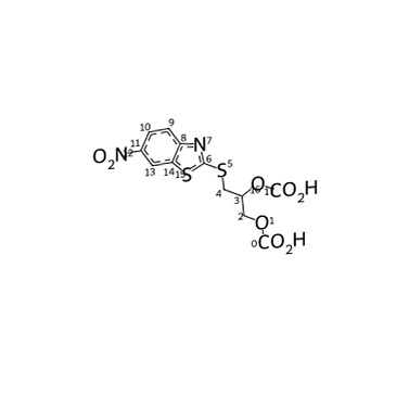 O=C(O)OCC(CSc1nc2ccc([N+](=O)[O-])cc2s1)OC(=O)O